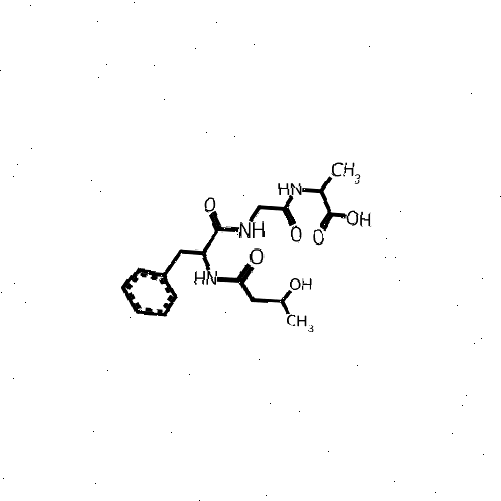 CC(O)CC(=O)NC(Cc1ccccc1)C(=O)NCC(=O)NC(C)C(=O)O